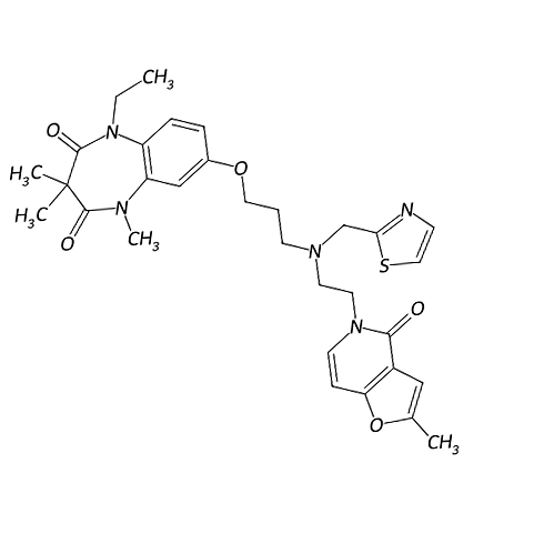 CCN1C(=O)C(C)(C)C(=O)N(C)c2cc(OCCCN(CCn3ccc4oc(C)cc4c3=O)Cc3nccs3)ccc21